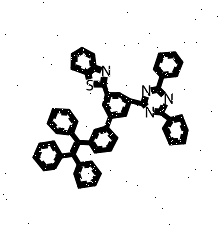 c1ccc(C(=C(c2ccccc2)c2cccc(-c3cc(-c4nc(-c5ccccc5)nc(-c5ccccc5)n4)cc(-c4nc5ccccc5s4)c3)c2)c2ccccc2)cc1